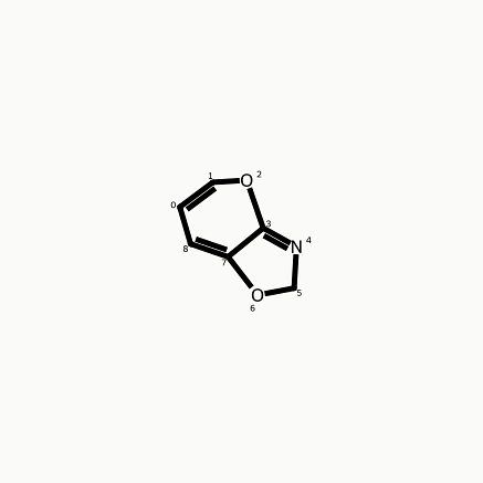 C1=COC2=NCOC2=C1